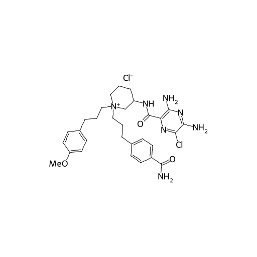 COc1ccc(CCC[N+]2(CCCc3ccc(C(N)=O)cc3)CCCC(NC(=O)c3nc(Cl)c(N)nc3N)C2)cc1.[Cl-]